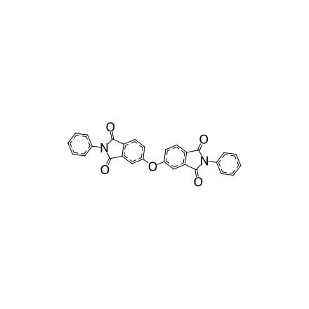 O=C1c2ccc(Oc3ccc4c(c3)C(=O)N(c3ccccc3)C4=O)cc2C(=O)N1c1ccccc1